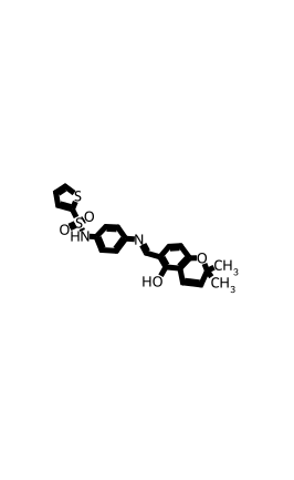 CC1(C)C=Cc2c(ccc(/C=N/c3ccc(NS(=O)(=O)c4cccs4)cc3)c2O)O1